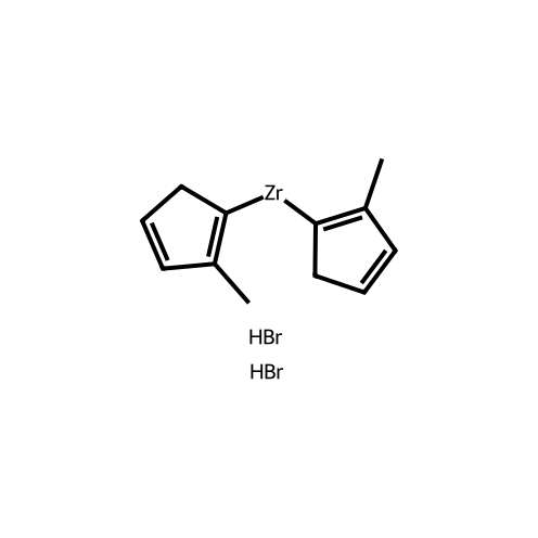 Br.Br.CC1=[C]([Zr][C]2=C(C)C=CC2)CC=C1